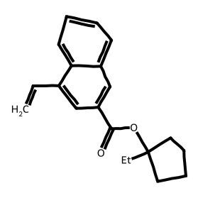 C=Cc1cc(C(=O)OC2(CC)CCCC2)cc2ccccc12